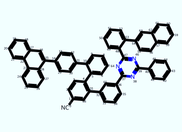 N#Cc1ccc(-c2ccccc2-c2ccc(-c3cc4ccccc4c4ccccc34)cc2)c(-c2cccc(-c3nc(-c4ccccc4)nc(-c4ccccc4-c4ccc5ccccc5c4)n3)c2)c1